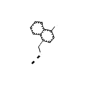 S=C=NCc1ccc(Br)c2ccccc12